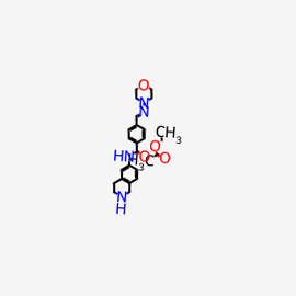 CCOC(C)=O.O=C(Nc1ccc2c(c1)CCNC2)c1ccc(C=NN2CCOCC2)cc1